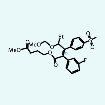 CCC(OCOC)/C(=C(\C(=O)OCCCC(=O)OC)c1cccc(F)c1)c1ccc(S(C)(=O)=O)cc1